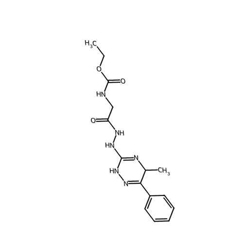 CCOC(=O)NCC(=O)NNC1=NC(C)C(c2ccccc2)=NN1